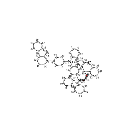 c1ccc(N(c2ccc(-c3cccc4c3sc3ccccc34)cc2)c2ccc3c(c2)C2(c4ccccc4Oc4ccccc42)c2ccccc2[Si]3(c2ccccc2)c2ccccc2)cc1